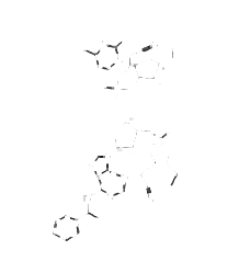 C=CCOP(=O)(OCCC#N)OC1[C@@H](COP(=S)(OCCC#N)OC2C(F)[C@@H](CO)O[C@H]2n2ccc(=O)[nH]c2=O)O[C@@H](n2cnc3c(NC(=O)c4ccccc4)ncnc32)[C@H]1F